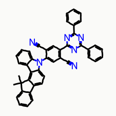 CC1(C)c2ccccc2-c2ccc3c(c21)c1ccccc1n3-c1cc(C#N)c(-c2nc(-c3ccccc3)nc(-c3ccccc3)n2)cc1C#N